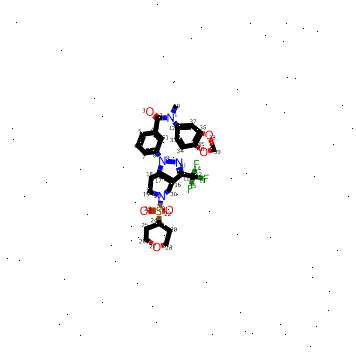 CN(C(=O)c1cccc(-n2nc(C(F)(F)F)c3c2CCN(S(=O)(=O)C2CCOCC2)C3)c1)c1ccc2c(c1)OCO2